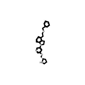 c1ccc(COCCc2cccc3c2CCN3c2cncc(OC[C@@H]3CCCN3)c2)cc1